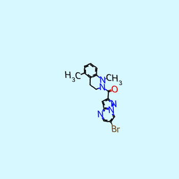 Cc1cccc2c1CCN(C(=O)c1cc3ncc(Br)cn3n1)N2C